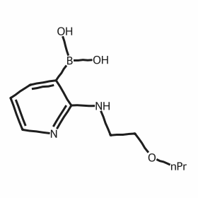 CCCOCCNc1ncccc1B(O)O